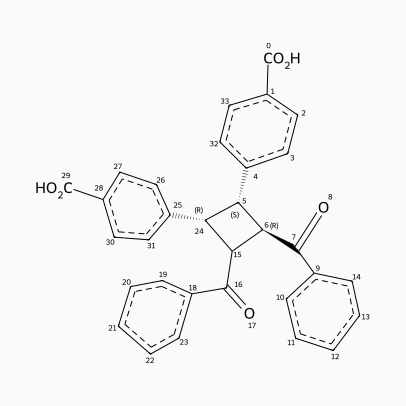 O=C(O)c1ccc([C@@H]2[C@@H](C(=O)c3ccccc3)C(C(=O)c3ccccc3)[C@@H]2c2ccc(C(=O)O)cc2)cc1